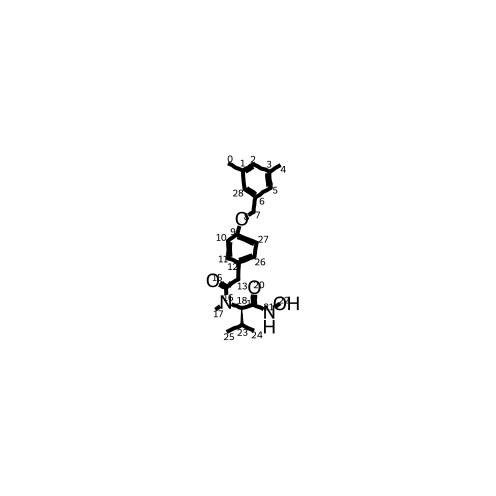 Cc1cc(C)cc(COc2ccc(CC(=O)N(C)[C@@H](C(=O)NO)C(C)C)cc2)c1